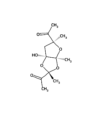 CC(=O)[C@@]1(C)O[C@]2(C)O[C@](C)(C(C)=O)C[C@]2(O)O1